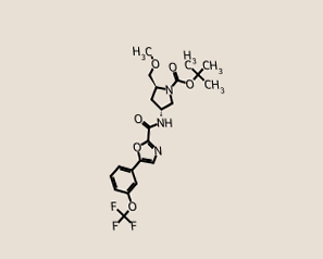 COC[C@@H]1C[C@@H](NC(=O)c2ncc(-c3cccc(OC(F)(F)F)c3)o2)CN1C(=O)OC(C)(C)C